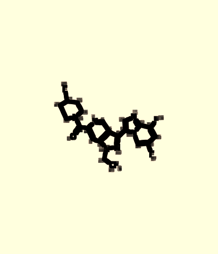 O=C(c1cc2c(cn1)c(-c1cnc3c(F)cc(F)cn13)nn2CC(F)(F)F)N1CCC(F)CC1